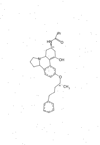 CC(C)C(=O)N[C@H]1CC(O)=C2c3cc(O[C@H](C)CCCc4ccccc4)ccc3C3CCCN3C2C1